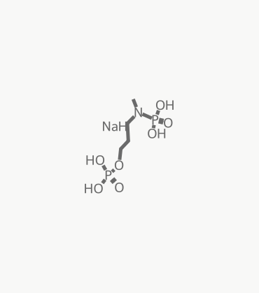 CN(CCCOP(=O)(O)O)P(=O)(O)O.[NaH]